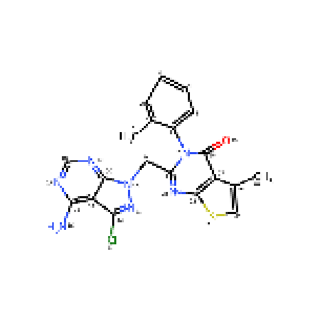 Cc1ccccc1-n1c(Cn2nc(Cl)c3c(N)ncnc32)nc2scc(C)c2c1=O